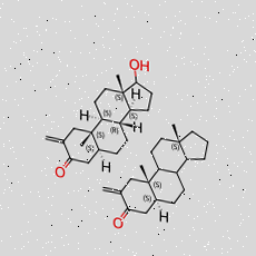 C=C1C[C@@]2(C)[C@@H](CC[C@@H]3[C@@H]2CC[C@]2(C)C(O)CC[C@@H]32)CC1=O.C=C1C[C@]2(C)C3CC[C@]4(C)CCCC4C3CC[C@H]2CC1=O